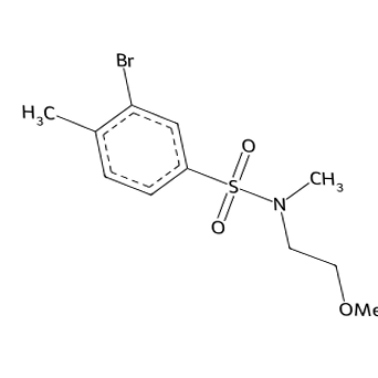 COCCN(C)S(=O)(=O)c1ccc(C)c(Br)c1